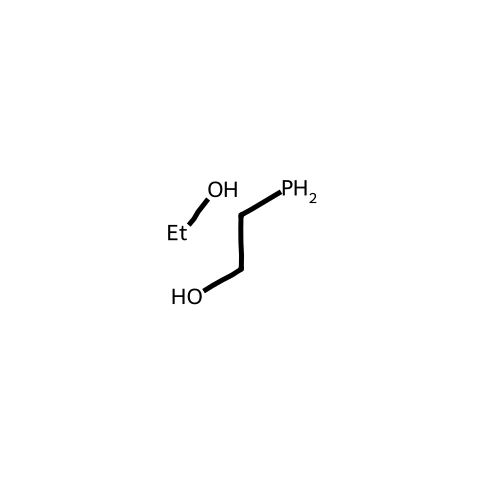 CCO.OCCP